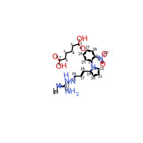 O=C(O)CCCCC(=O)O.[H]/N=C(\N)NN=CC=Cc1cccn1-c1ccccc1[N+](=O)[O-]